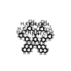 CC(C)(C)c1cc(-c2nc(-c3cc(C(C)(C)C)cc(C(C)(C)C)c3)nc(-c3cc4c5c(c3)N(c3ccc(-c6ccccc6)cc3)c3c(cc6ccc7cccc8ccc3c6c78)B5c3cc5ccc6cccc7ccc(c3N4c3ccc(-c4ccccc4)cc3)c5c67)n2)cc(C(C)(C)C)c1